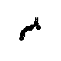 O[C@H](COc1ccc2sc(-c3ccccc3)nc2c1)CN1CCN(CCc2n[nH]cc2-c2ccccc2)CC1